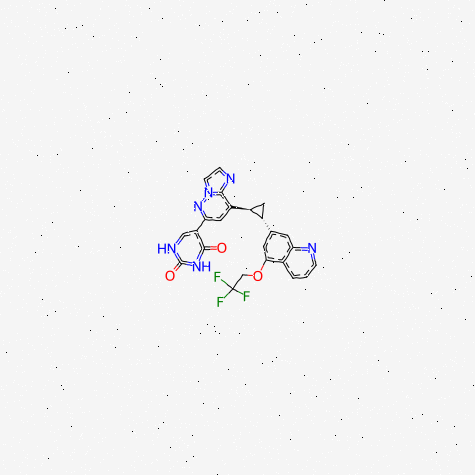 O=c1[nH]cc(-c2cc([C@H]3C[C@@H]3c3cc(OCC(F)(F)F)c4cccnc4c3)c3nccn3n2)c(=O)[nH]1